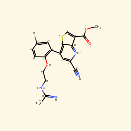 COC(=O)c1csc2c(-c3cc(Cl)ccc3OCCNC(C)=N)cc(C#N)nc12